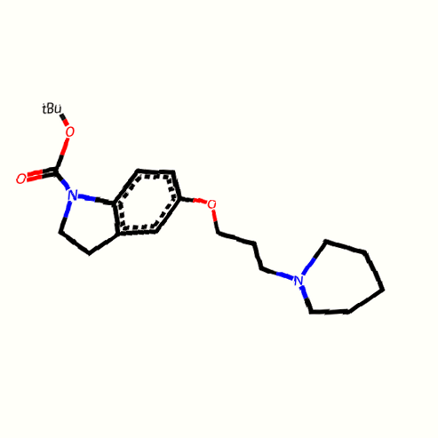 CC(C)(C)OC(=O)N1CCc2cc(OCCCN3CCCCC3)ccc21